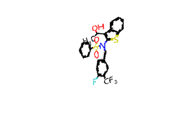 CC(O)c1c(N(Cc2ccc(F)c(C(F)(F)F)c2)S(=O)(=O)c2ccccc2)sc2ccccc12